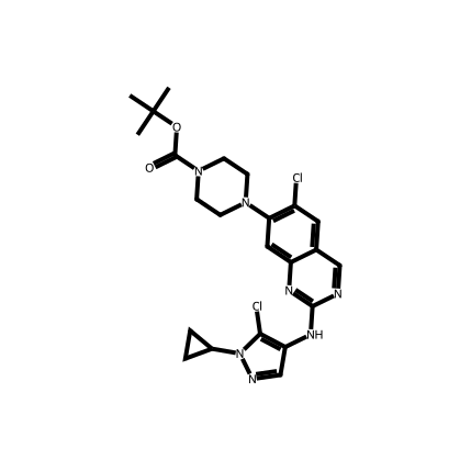 CC(C)(C)OC(=O)N1CCN(c2cc3nc(Nc4cnn(C5CC5)c4Cl)ncc3cc2Cl)CC1